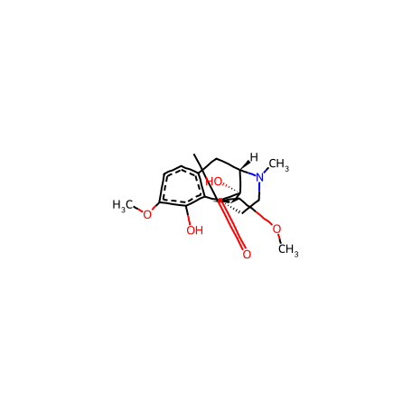 COc1ccc2c(c1O)[C@@]13CCN(C)[C@@H](C2)[C@@]1(O)CC(OC)C(=O)C3